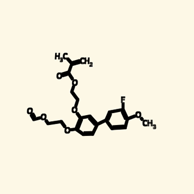 C=C(C)C(=O)OCCOc1cc(-c2ccc(OC)c(F)c2)ccc1OCCOC=O